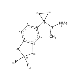 C=C(NC)C1(c2ccc3c(c2)CC(F)(F)C3)CC1